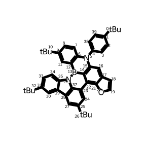 CC(C)(C)c1ccc(N2c3ccc(C(C)(C)C)cc3B3c4c2cc2ccoc2c4-c2cc(C(C)(C)C)cc4c5cc(C(C)(C)C)ccc5n3c24)cc1